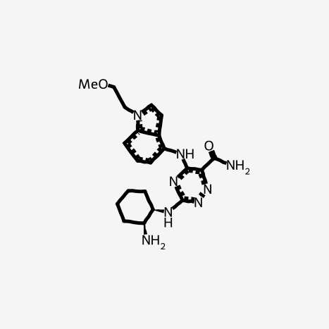 COCCn1ccc2c(Nc3nc(N[C@@H]4CCCC[C@@H]4N)nnc3C(N)=O)cccc21